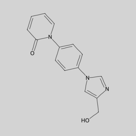 O=c1ccccn1-c1ccc(-n2cnc(CO)c2)cc1